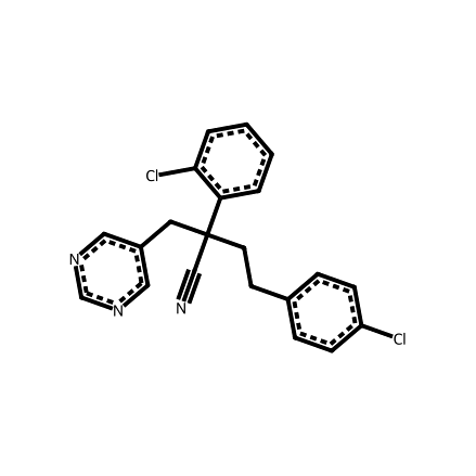 N#CC(CCc1ccc(Cl)cc1)(Cc1cncnc1)c1ccccc1Cl